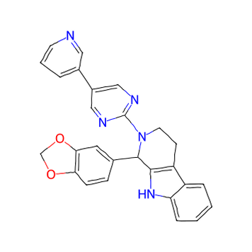 c1cncc(-c2cnc(N3CCc4c([nH]c5ccccc45)C3c3ccc4c(c3)OCO4)nc2)c1